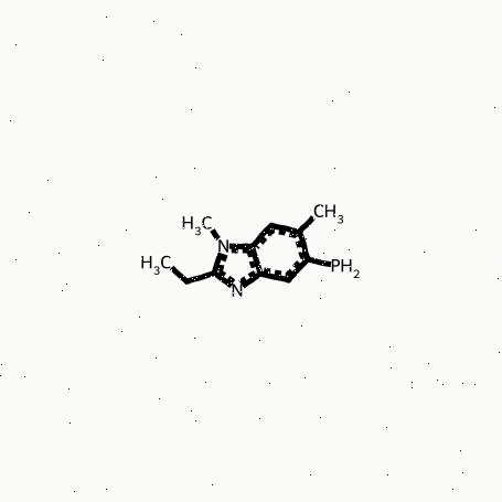 CCc1nc2cc(P)c(C)cc2n1C